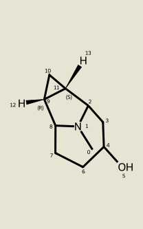 CN1C2CC(O)CCC1[C@@H]1C[C@H]21